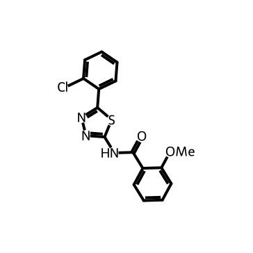 COc1ccccc1C(=O)Nc1nnc(-c2ccccc2Cl)s1